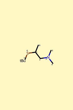 CC(CN(C)C)SC(C)(C)C